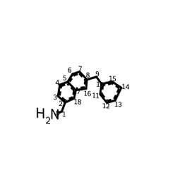 NCc1ccc2ccc(Cc3ccccc3)cc2c1